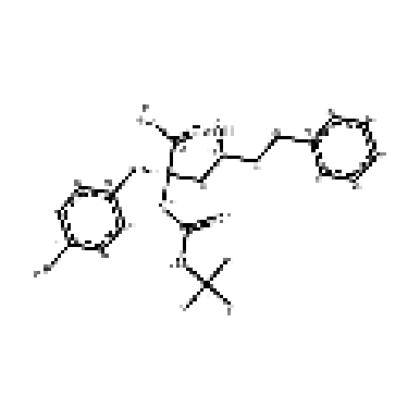 CC(C)(C)OC(=O)N[C@](Cc1ccc(F)cc1)(C[C@@H](O)CCc1ccccc1)C(=O)O